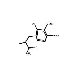 COc1ccc(CC(C)C(N)=O)c(Cl)c1OC